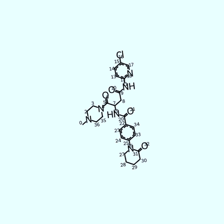 CN1CCN(C(=O)C(CC(=O)Nc2ccc(Cl)cn2)NC(=O)c2ccc(N3CCCCC3=O)cc2)CC1